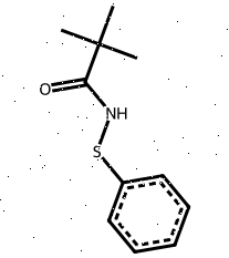 CC(C)(C)C(=O)NSc1ccccc1